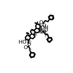 C=C[C@]12CC[C@H](O)[C@](C)(COC(=O)/C=C/c3ccccc3)C1CC[C@]1(C)C2CC=C2C3CC(C)(C)[C@@H](OC(=O)CCc4ccccc4)[C@H](O)[C@]3(COC(=O)/C=C/c3ccccc3)[C@H](O)C[C@]21C